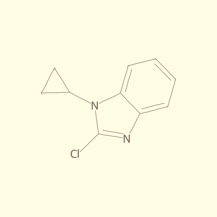 Clc1nc2ccccc2n1C1CC1